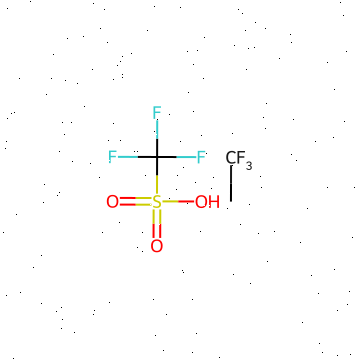 CC(F)(F)F.O=S(=O)(O)C(F)(F)F